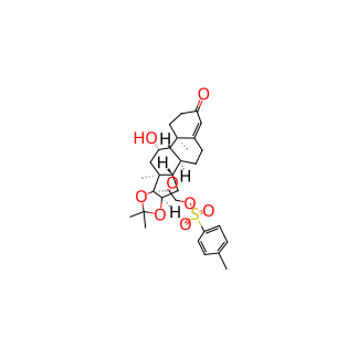 Cc1ccc(S(=O)(=O)OCC(=O)[C@@]23OC(C)(C)O[C@@H]2C[C@H]2[C@@H]4CCC5=CC(=O)CC[C@]5(C)[C@H]4[C@@H](O)C[C@@]23C)cc1